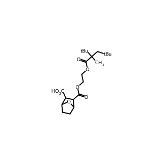 CC(C)(C)CC(C)(C(=O)OCCOC(=O)C1C2CCC(O2)C1C(=O)O)C(C)(C)C